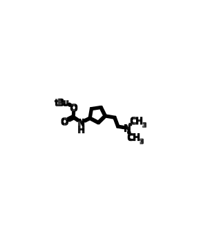 CN(C)CCC1CCC(NC(=O)OC(C)(C)C)C1